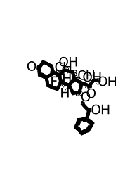 C[C@]12CCC(=O)C=C1CC[C@H]1[C@@H]3C[C@@H](OCC(O)c4ccccc4)[C@](O)(C(=O)CO)[C@@]3(C)C[C@H](O)C12F